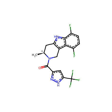 C[C@H]1Cc2[nH]c3c(F)ccc(F)c3c2CN1C(=O)c1cc(C(F)(F)F)[nH]n1